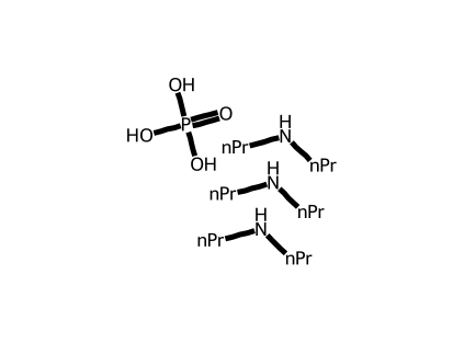 CCCNCCC.CCCNCCC.CCCNCCC.O=P(O)(O)O